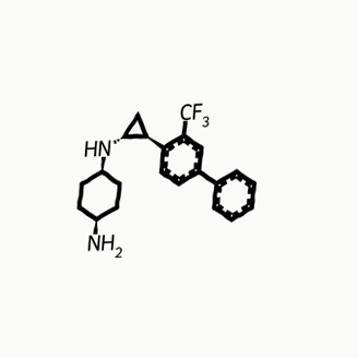 N[C@H]1CC[C@@H](N[C@@H]2C[C@H]2c2ccc(-c3ccccc3)cc2C(F)(F)F)CC1